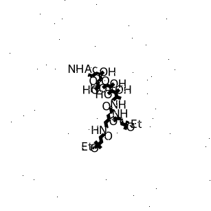 CCOC(C)(C)CCC(=O)NCCCC[C@H](NC(=O)CCC(C)(C)OCC)C(=O)NCC(C)C(O)C(O)C(O)C(O)OC1C(CO)OC(C)C(NC(C)=O)C1O